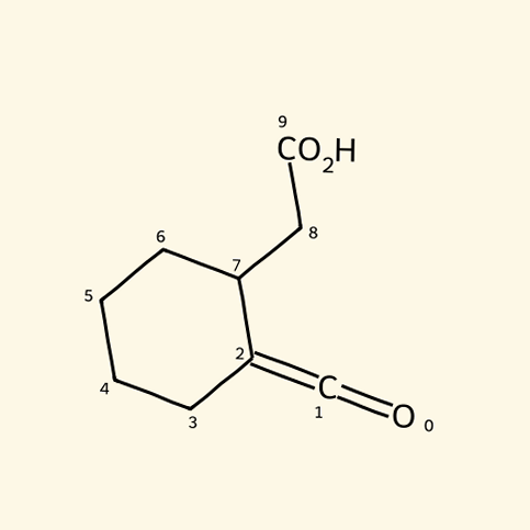 O=C=C1CCCCC1CC(=O)O